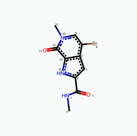 CNC(=O)c1cc2c(Br)cn(C)c(=O)c2[nH]1